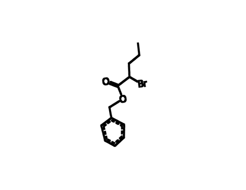 CCCC(Br)C(=O)OCc1ccccc1